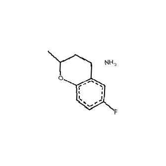 CC1CCc2cc(F)ccc2O1.N